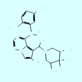 COc1ccc(C)c(N(C)c2ncnn3cc(C)c(C(C)N4CC(C)[C@@](C)(N)[C@H](O)C4)c23)c1